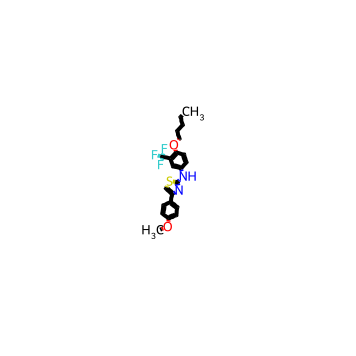 CCCCCOc1ccc(Nc2nc(-c3ccc(OC)cc3)cs2)cc1C(F)(F)F